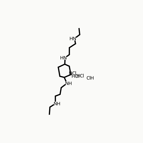 CCNCCCNC1CCC(NCCCNCC)CC1.Cl.Cl.Cl.Cl